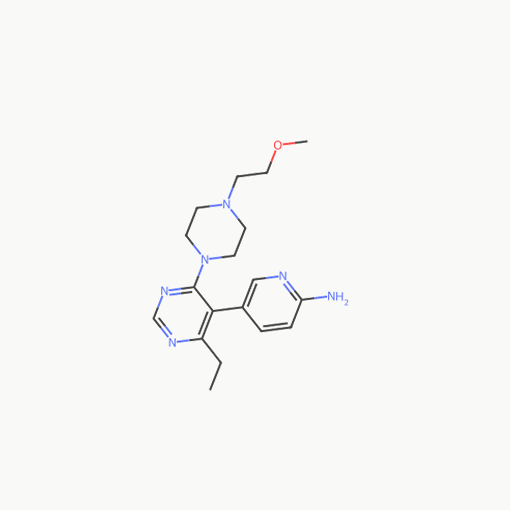 CCc1ncnc(N2CCN(CCOC)CC2)c1-c1ccc(N)nc1